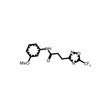 COc1cccc(NC(=O)CCc2noc(C(F)(F)F)n2)c1